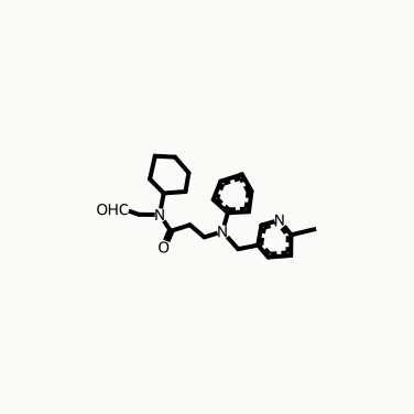 Cc1ccc(CN(CCC(=O)N(CC=O)C2CCCCC2)c2ccccc2)cn1